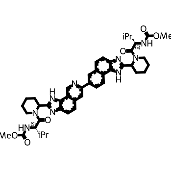 COC(=O)N[C@H](C(=O)N1CCCCC1c1nc2ccc3cc(-c4cc5ccc6nc(C7CCCCN7C(=O)[C@@H](NC(=O)OC)C(C)C)[nH]c6c5cn4)ccc3c2[nH]1)C(C)C